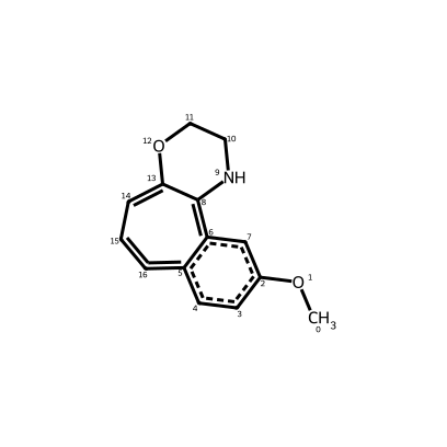 COc1ccc2c(c1)=C1NCCOC1=CC=C=2